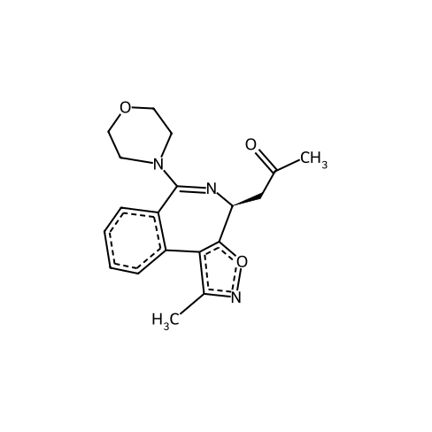 CC(=O)C[C@@H]1N=C(N2CCOCC2)c2ccccc2-c2c(C)noc21